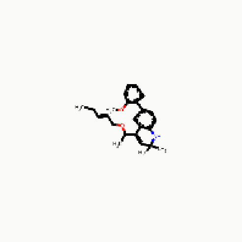 CCC=CCOC(C)C1=CC(C)(C)Nc2ccc(-c3ccccc3OC)cc21